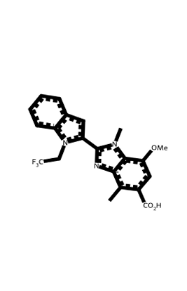 COc1cc(C(=O)O)c(C)c2nc(-c3cc4ccccc4n3CC(F)(F)F)n(C)c12